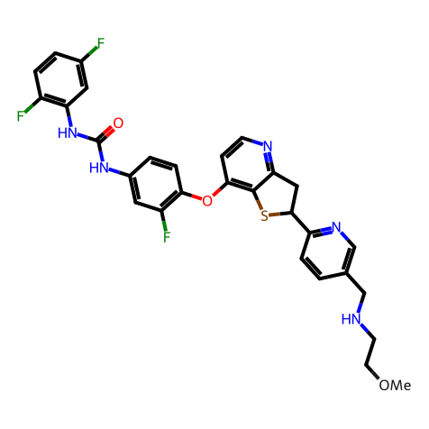 COCCNCc1ccc(C2Cc3nccc(Oc4ccc(NC(=O)Nc5cc(F)ccc5F)cc4F)c3S2)nc1